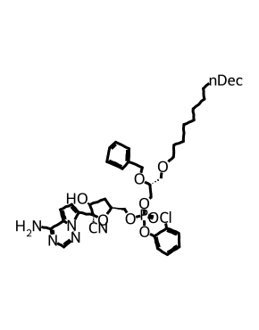 CCCCCCCCCCCCCCCCCCOC[C@H](COP(=O)(OC[C@@H]1C[C@@H](O)[C@](C#N)(c2ccc3c(N)ncnn23)O1)Oc1ccccc1Cl)OCc1ccccc1